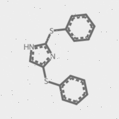 c1ccc(Sc2c[nH]c(Sc3ccccc3)n2)cc1